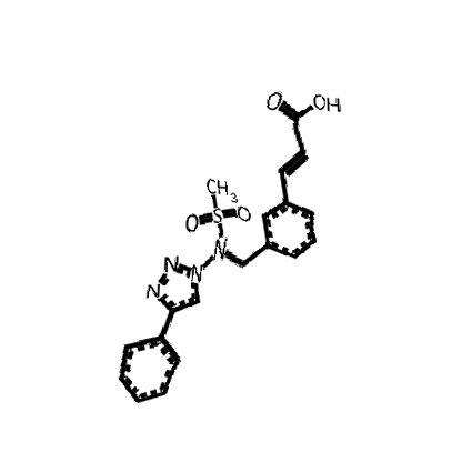 CS(=O)(=O)N(Cc1cccc(/C=C/C(=O)O)c1)n1cc(-c2ccccc2)nn1